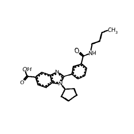 CCCCNC(=O)c1cccc(-c2nc3cc(C(=O)O)ccc3n2C2CCCC2)c1